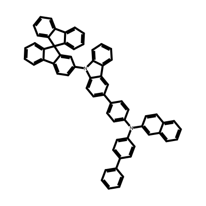 c1ccc(-c2ccc(N(c3ccc(-c4ccc5c(c4)c4ccccc4n5-c4ccc5c(c4)C4(c6ccccc6-c6ccccc64)c4ccccc4-5)cc3)c3ccc4ccccc4c3)cc2)cc1